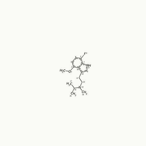 COc1ccc(F)c2[nH]cc(CCN(C)C(C)C)c12